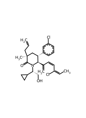 C=CC[C@@]1(C)C[C@H](c2cccc(Cl)c2)[C@@H](C(=C)/C=C\C(Cl)=C/C)N([C@H](CO)C2CC2)C1=O